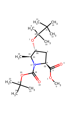 COC(=O)[C@@H]1C[C@@H](O[Si](C)(C)C(C)(C)C)[C@H](C)N1C(=O)OC(C)(C)C